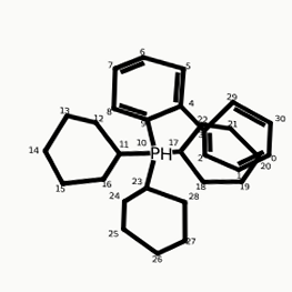 c1ccc(-c2ccccc2[PH](C2CCCCC2)(C2CCCCC2)C2CCCCC2)cc1